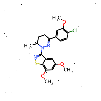 COc1cc(OC)c2snc(N3N=C(c4ccc(Cl)c(OC)c4)CCC3C)c2c1